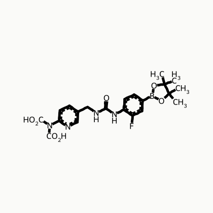 CC1(C)OB(c2ccc(NC(=O)NCc3ccc(N(C(=O)O)C(=O)O)nc3)c(F)c2)OC1(C)C